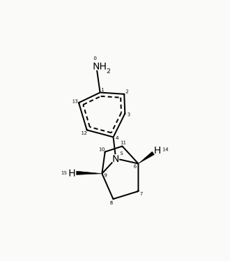 Nc1ccc(N2[C@H]3CC[C@@H]2CC3)cc1